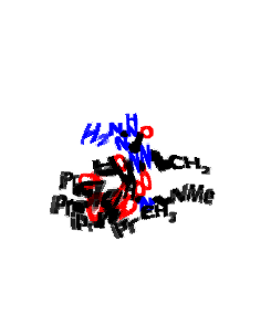 C=CCn1c(=O)n([C@@H]2O[C@@H]3CO[Si](CC(C)C)(CC(C)C)O[Si](CC(C)C)(CC(C)C)O[C@H]3[C@H]2OC(=O)N(C)CCNC)c2nc(N)[nH]c(=O)c21